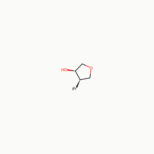 CC(C)[C@@H]1COC[C@@H]1O